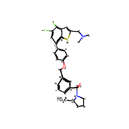 CN(C)Cc1cc2c(F)c(F)cc(-c3ccc(OCc4cccc(C(=O)N5CCC[C@H]5C(=O)O)c4)cc3)c2s1